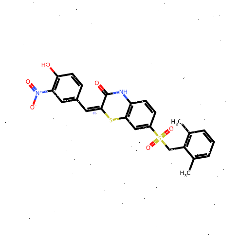 Cc1cccc(C)c1CS(=O)(=O)c1ccc2c(c1)S/C(=C/c1ccc(O)c([N+](=O)[O-])c1)C(=O)N2